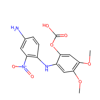 COc1cc(Nc2ccc(N)cc2[N+](=O)[O-])c(OC(=O)O)cc1OC